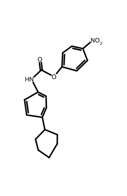 O=C(Nc1ccc(C2CCCCC2)cc1)Oc1ccc([N+](=O)[O-])cc1